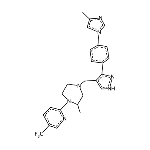 Cc1cn(-c2ccc(-c3n[nH]cc3CN3CCN(c4ccc(C(F)(F)F)cn4)C(C)C3)cc2)cn1